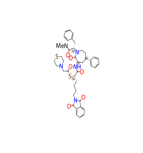 CNC(=O)[C@H](Cc1ccccc1)N1CC[C@H](c2ccccc2)C[C@H](NC(=O)[C@H](CCCCN2C(=O)c3ccccc3C2=O)SC(=O)CN2CCSCC2)C1=O